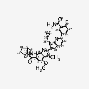 COc1cc(C(=O)N2CC3CCC2C3N)cc2nc(-c3cc4ccc(-c5ccc(F)c(C(N)=O)c5)nc4n3CC3CC3)n(C)c12